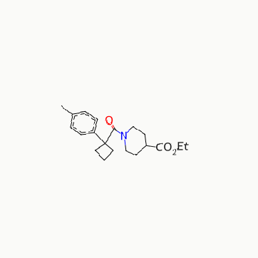 CCOC(=O)C1CCN(C(=O)C2(c3ccc(C)cc3)CCC2)CC1